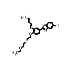 C/C=C/C=Nc1cc(-c2nc3cc(Cl)ccc3s2)ccc1OCCOCCOCC